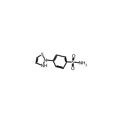 NS(=O)(=O)c1ccc(N2NC=CS2)cc1